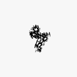 CN(C)Cc1cncc(-c2ccc3[nH]nc(-c4nc5c(-c6ccncc6)ccnc5[nH]4)c3c2)c1